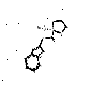 O=C(O)[C@]1(C(=O)CC2=Cc3ccccc3C2)CCCN1